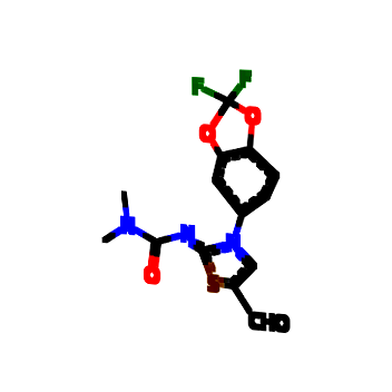 CN(C)C(=O)N=c1sc(C=O)cn1-c1ccc2c(c1)OC(F)(F)O2